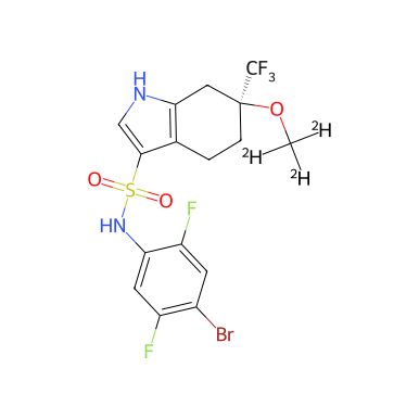 [2H]C([2H])([2H])O[C@@]1(C(F)(F)F)CCc2c(S(=O)(=O)Nc3cc(F)c(Br)cc3F)c[nH]c2C1